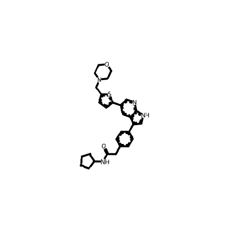 O=C(Cc1ccc(-c2c[nH]c3ncc(-c4ccc(CN5CCOCC5)s4)cc23)cc1)NC1CCCC1